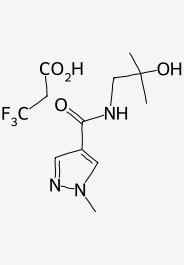 Cn1cc(C(=O)NCC(C)(C)O)cn1.O=C(O)CC(F)(F)F